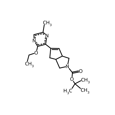 CCOc1ncc(C)nc1C1=CC2CN(C(=O)OC(C)(C)C)CC2C1